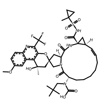 COc1ccc2nc(C(F)(F)F)c3c(c2c1)[C@](C)(O)C[C@]1(C[C@H]2C(=O)N[C@]4(C(=O)NS(=O)(=O)C5(C)CC5)C[C@H]4/C=C\CCCCC[C@H](N(CC(C)(C)C)C(=O)O)C(=O)N2C1)O3